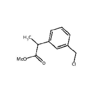 COC(=O)C(C)c1cccc(CCl)c1